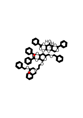 O=C(CN(CCO[C@@H]1OC(COCc2ccccc2)[C@@H](O[C@@H]2OC3COC(c4ccccc4)O[C@H]3C(O)C2OC(=O)c2ccccc2)C(OC(=O)c2ccccc2)C1OC(=O)c1ccccc1)Cc1ccccc1)OCc1ccccc1